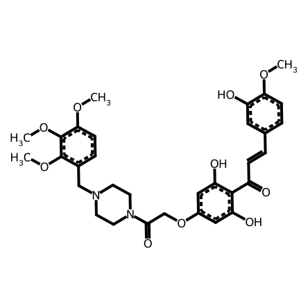 COc1ccc(C=CC(=O)c2c(O)cc(OCC(=O)N3CCN(Cc4ccc(OC)c(OC)c4OC)CC3)cc2O)cc1O